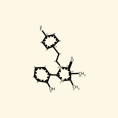 Cc1nc(-c2ccccc2O)n(CCc2ccc(F)cc2)c(=O)c1C